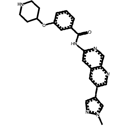 Cn1cc(-c2cnc3cnc(NC(=O)c4cccc(OC5CCNCC5)c4)cc3c2)cn1